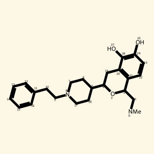 CNCC1OC(C2CCN(CCc3ccccc3)CC2)Cc2c1ccc(O)c2O